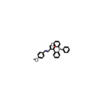 COc1ccc(/C=C/c2cocc2-c2ccccc2P(c2ccccc2)c2ccccc2)cc1